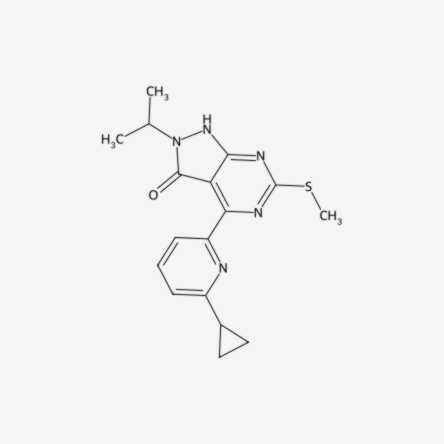 CSc1nc(-c2cccc(C3CC3)n2)c2c(=O)n(C(C)C)[nH]c2n1